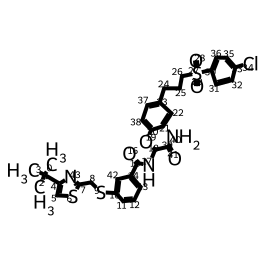 CC(C)(C)c1csc(CSc2cccc(C(=O)NC(Oc3ccc(CCCS(=O)(=O)c4ccc(Cl)cc4)cc3)C(N)=O)c2)n1